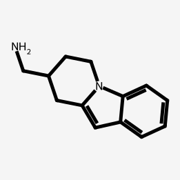 NCC1CCn2c(cc3ccccc32)C1